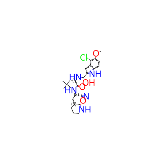 COc1ccc2[nH]c(C(O)N[C@@H](CC(C)(C)C)C(=O)N[C@H](C#N)C[C@@H]3CCCNC3=O)cc2c1Cl